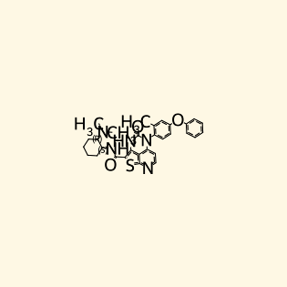 Cc1cc(Oc2ccccc2)ccc1N1C(=O)Nc2c(C(=O)N[C@H]3CCCC[C@H]3N(C)C)sc3nccc1c23